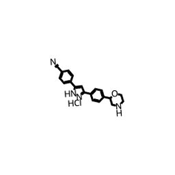 Cl.N#Cc1ccc(-c2cc(-c3ccc(C4CNCCO4)cc3)n[nH]2)cc1